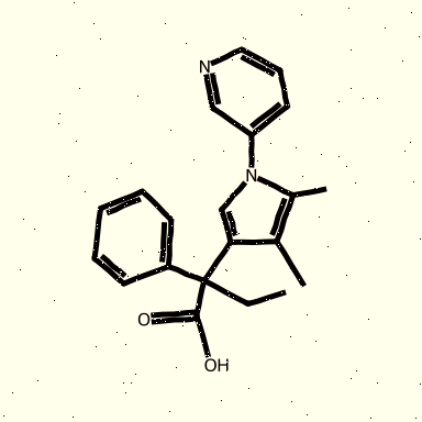 CCC(C(=O)O)(c1ccccc1)c1cn(-c2cccnc2)c(C)c1C